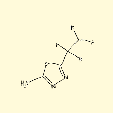 Nc1nnc(C(F)(F)C(F)F)s1